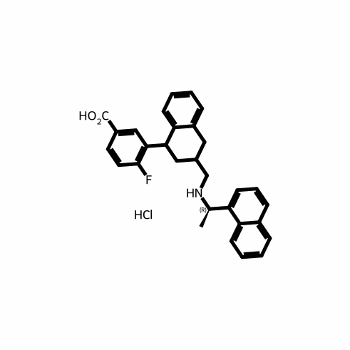 C[C@@H](NCC1Cc2ccccc2C(c2cc(C(=O)O)ccc2F)C1)c1cccc2ccccc12.Cl